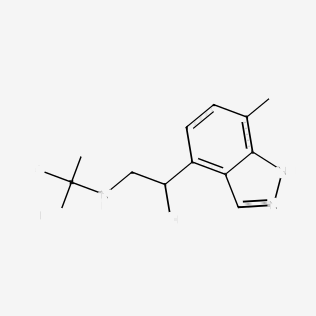 CC(C)(C)NCC(O)c1ccc(F)c2[nH]ncc12